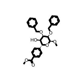 COC(=O)c1ccc([C@H]2O[C@H](OC)[C@@H](OCc3ccccc3)[C@@H](OCc3ccccc3)[C@@H]2O)cc1